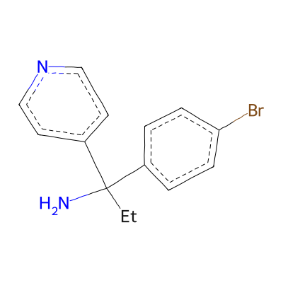 CCC(N)(c1ccncc1)c1ccc(Br)cc1